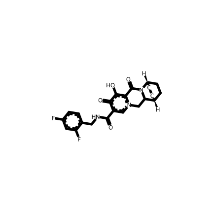 O=C(NCc1ccc(F)cc1F)c1cn2c(c(O)c1=O)C(=O)N1C(C2)[C@H]2CC[C@@H]1CC2